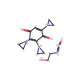 O=C1C=C(N2CC2)C(=O)C(N2CC2)=C1N1CC1.O=C=NCCO